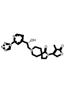 CC1=C(N2CCC3(CCN(C[C@@H](O)c4ccnc(-n5cnnn5)c4)CC3)C2=O)COC1=O